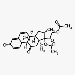 CC(=O)OCC(=O)[C@]1(OC(C)=O)[C@H](C)C[C@H]2[C@@H]3C=CC4=CC(=O)C=C[C@]4(C)[C@H]3C(=O)C[C@@]21C